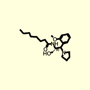 CCCCCCCC(=O)N[C@@H](CO)C(c1ccccc1OC)N1CCCC1